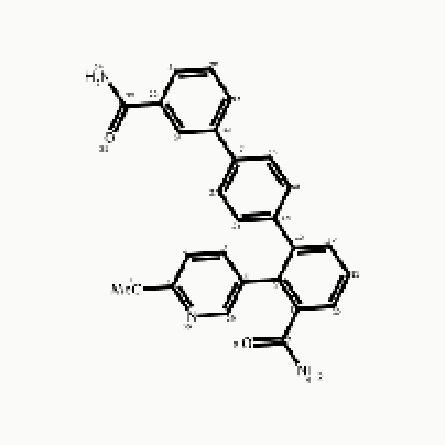 COc1ccc(-c2c(C(N)=O)cccc2-c2ccc(-c3cccc(C(N)=O)c3)cc2)cn1